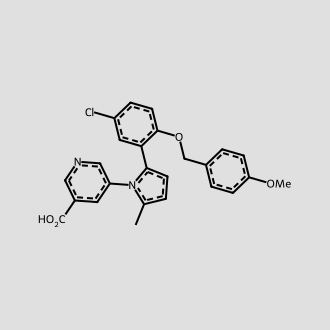 COc1ccc(COc2ccc(Cl)cc2-c2ccc(C)n2-c2cncc(C(=O)O)c2)cc1